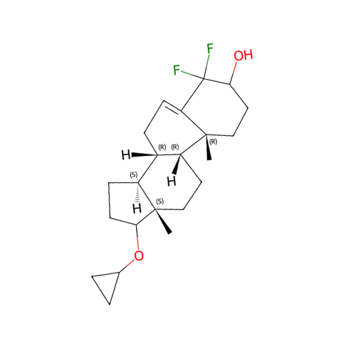 C[C@]12CCC(O)C(F)(F)C1=CC[C@@H]1[C@H]2CC[C@]2(C)C(OC3CC3)CC[C@@H]12